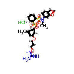 CCN(c1ccc2c(c1)OOC2)S(=O)(=O)c1ccccc1S(=O)(=O)Oc1cc(C)cc(OCCCONC(=N)N)c1.Cl